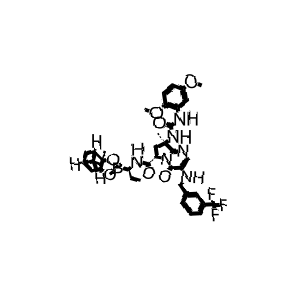 CC[C@H](NC(=O)[C@@H]1C[C@@](C)(NC(=O)Nc2cc(OC)ccc2OC)c2ncc(NCc3cccc(C(F)(F)F)c3)c(=O)n21)B1O[C@@H]2C[C@@H]3C[C@@H](C3(C)C)[C@]2(C)O1